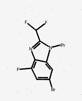 CC(C)n1c(C(F)F)nc2c(F)cc(Br)cc21